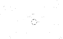 Cc1cc(C)cc(N(C(C)O)C(C)O)c1